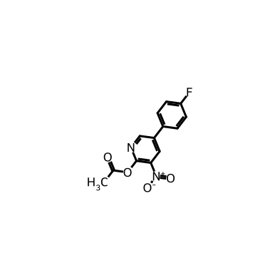 CC(=O)Oc1ncc(-c2ccc(F)cc2)cc1[N+](=O)[O-]